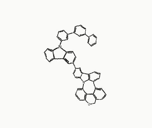 c1ccc(-c2cccc(-c3cccc(-n4c5ccccc5c5cc(-c6ccc7c(c6)c6cccc8c6n7-c6cccc7c6-c6c(cccc6-8)CO7)ccc54)c3)c2)cc1